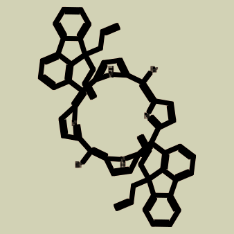 C=CCC1(CC=C)c2ccccc2-c2cccc(-c3c4nc(c(Br)c5ccc([nH]5)c(-c5cccc6c5C(CC=C)(CC=C)c5ccccc5-6)c5nc(c(Br)c6ccc3[nH]6)C=C5)C=C4)c21